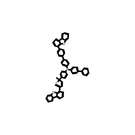 CC1(c2ccc(N(c3ccc(-c4ccccc4)cc3)c3ccc(-c4ccc(-c5cccc6c5oc5ccccc56)cc4)cc3)cc2)C=CC(c2cccc3c2oc2ccccc23)=CC1